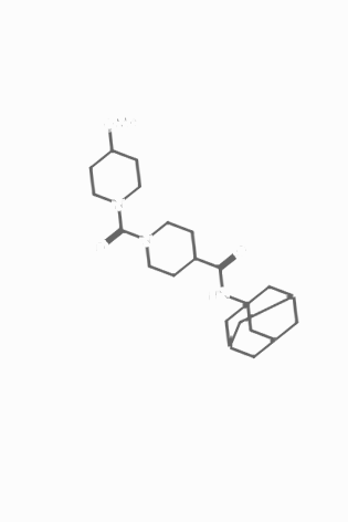 COC1CCN(C(=O)N2CCC(C(=O)NC34CC5CC(CC(C5)C3)C4)CC2)CC1